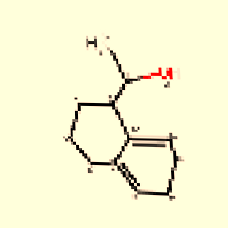 CC(O)C1CCCC2=CCCC=C21